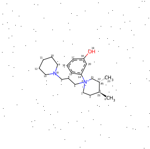 C[C@H]1CC[N+](CCCN2CCCCC2)(c2cccc(O)c2)C[C@@H]1C